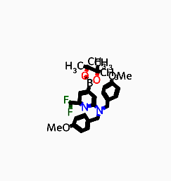 COc1ccc(CN(Cc2ccc(OC)cc2)c2cc(B3OC(C)(C)C(C)(C)O3)cc(C(F)F)n2)cc1